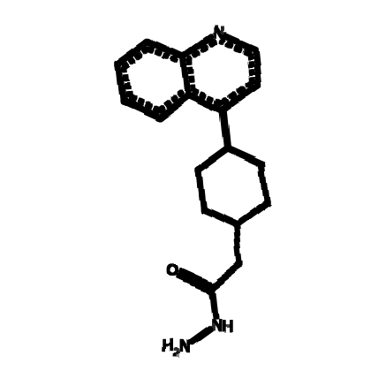 NNC(=O)CC1CCC(c2ccnc3ccccc23)CC1